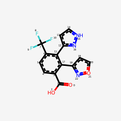 O=C(O)c1ccc(C(F)(F)F)c(-c2cc[nH]n2)c1-c1ccon1